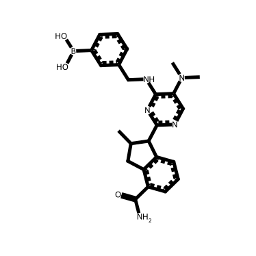 CC1Cc2c(C(N)=O)cccc2C1c1ncc(N(C)C)c(NCc2cccc(B(O)O)c2)n1